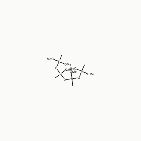 CO[Si](C)(OC)O[Si](C)(OC)O[Si](C)(OC)O[Si](C)(OC)OC